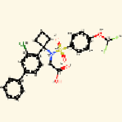 O=C(O)CN(C1(c2ccc(-c3ccccc3)cc2Cl)CCC1)S(=O)(=O)c1ccc(OC(F)F)cc1